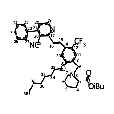 CC(C)COC(=O)[C@@H]1CCCCN1Cc1cc(C(F)(F)F)c(/C=C/c2nccc(-c3ccccc3)c2C#N)cc1OCCCCCI